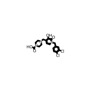 O=C(O)N1CCN(Cc2ccn(Cc3ccc(Cl)c(Cl)c3)c(=O)c2O)CC1